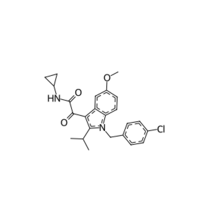 COc1ccc2c(c1)c(C(=O)C(=O)NC1CC1)c(C(C)C)n2Cc1ccc(Cl)cc1